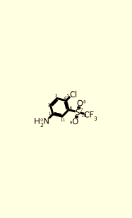 Nc1ccc(Cl)c(S(=O)(=O)C(F)(F)F)c1